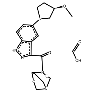 CO[C@@H]1CCN(c2ccc3[nH]nc(C(=O)N4CCN5CCC4CC5)c3c2)C1.O=CO